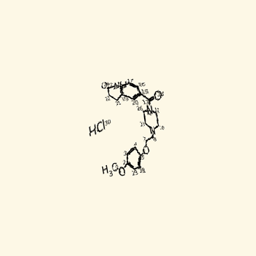 COc1ccc(OCCN2CCN(C(=O)c3ccc4c(c3)CCC(=O)N4)CC2)cc1.Cl